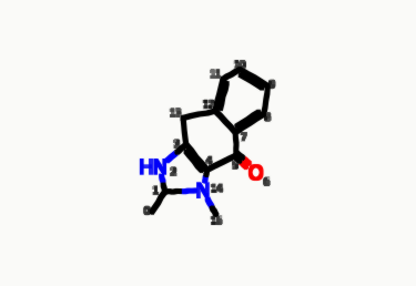 CC1NC2=C(C(=O)c3ccccc3C2)N1C